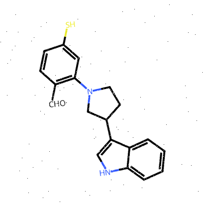 O=[C]c1ccc(S)cc1N1CCC(c2c[nH]c3ccccc23)C1